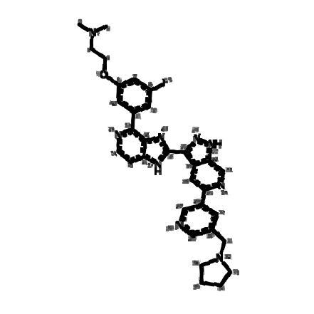 CN(C)CCOc1cc(F)cc(-c2nccc3[nH]c(-c4n[nH]c5cnc(-c6cncc(CN7CCCC7)c6)cc45)nc23)c1